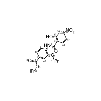 CC(C)OC(=O)c1ccc(NC(=O)c2ccc([N+](=O)[O-])cc2O)c(OC(C)C)c1